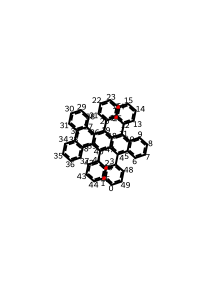 c1ccc(-c2c3ccccc3c(-c3ccccc3)c3c(-c4ccccc4)c4c5ccccc5c5ccccc5c4c(-c4ccccc4)c23)cc1